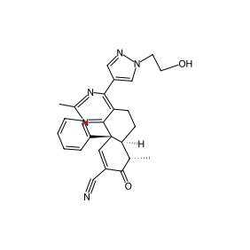 Cc1nc(-c2cnn(CCO)c2)c2c(n1)[C@@]1(c3ccccc3)C=C(C#N)C(=O)[C@@H](C)[C@@H]1CC2